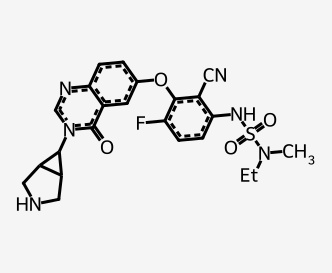 CCN(C)S(=O)(=O)Nc1ccc(F)c(Oc2ccc3ncn(C4C5CNCC54)c(=O)c3c2)c1C#N